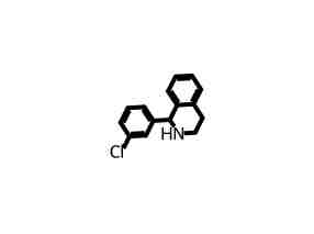 Clc1cccc(C2NCCc3ccccc32)c1